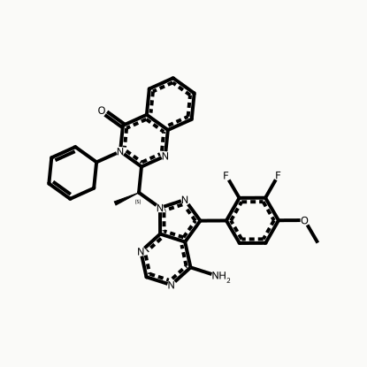 COc1ccc(-c2nn([C@@H](C)c3nc4ccccc4c(=O)n3C3C=CC=CC3)c3ncnc(N)c23)c(F)c1F